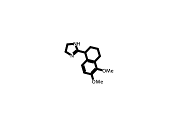 COc1ccc2c(c1OC)CCCC2C1=NCCN1